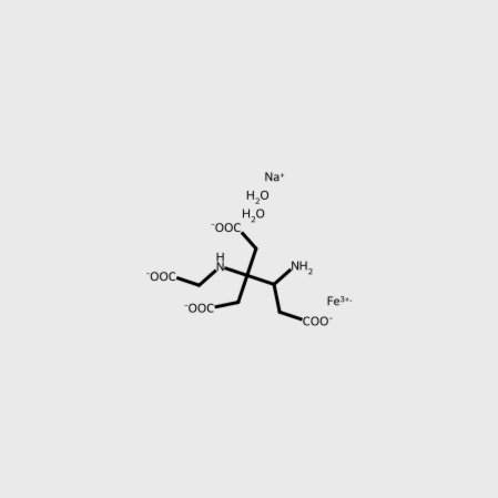 NC(CC(=O)[O-])C(CC(=O)[O-])(CC(=O)[O-])NCC(=O)[O-].O.O.[Fe+3].[Na+]